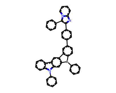 c1ccc(B2c3ccc(-c4ccc(-c5nc6ccccn6c5-c5ccccc5)cc4)cc3-c3cc4c5ccccc5n(-c5ccccc5)c4cc32)cc1